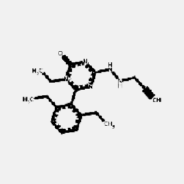 C#CCNNc1nc(-c2c(CC)cccc2CC)n(CC)c(=O)n1